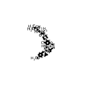 COc1ccc(CN(c2nc(Nc3cc(OC(F)F)cc(N4CCN([C@H](C)C(=O)NNC(=O)OC(C)(C)C)CC4)c3Cl)nc3c(C#N)cnn23)C2CC2)cc1